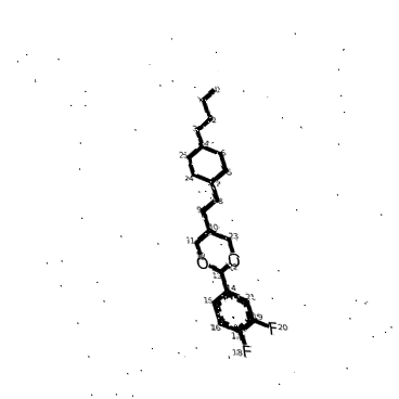 CCCCC1CCC(CCC2COC(c3ccc(F)c(F)c3)OC2)CC1